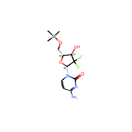 C[Si](C)(C)OC[C@H]1O[C@@H](n2ccc(N)nc2=O)C(F)(F)[C@@H]1O